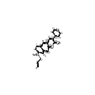 C=CCN(C)c1ccc2cc3cc(-c4ccncc4)c(=O)oc3cc2c1